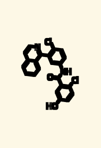 O=C(Nc1ccc(Cl)c(-c2nccc3ccccc23)c1)c1cc(O)ccc1Cl